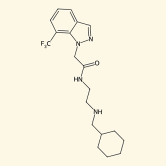 O=C(Cn1ncc2cccc(C(F)(F)F)c21)NCCNCC1CCCCC1